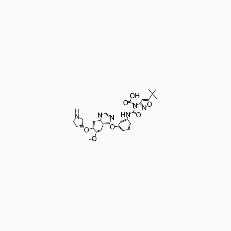 COc1cc2c(Oc3cccc(NC(=O)N(C(=O)O)c4cc(C(C)(C)C)on4)c3)ncnc2cc1O[C@@H]1CCNC1